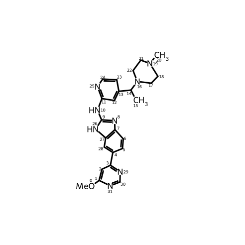 COc1cc(-c2ccc3nc(Nc4cc(C(C)N5CCN(C)CC5)ccn4)[nH]c3c2)ncn1